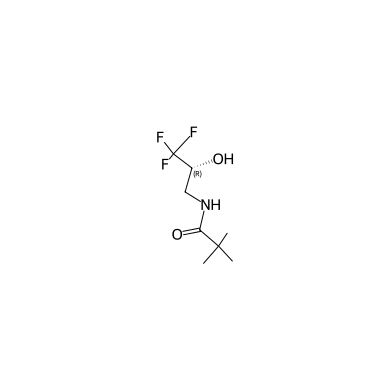 CC(C)(C)C(=O)NC[C@@H](O)C(F)(F)F